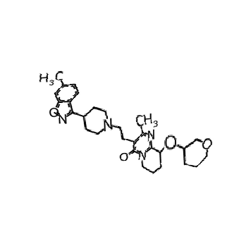 Cc1ccc2c(C3CCN(CCc4c(C)nc5n(c4=O)CCCC5OC4CCCOC4)CC3)noc2c1